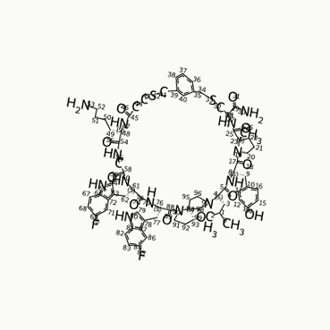 CC(C)C[C@H]1C(=O)N[C@@H](Cc2ccc(O)cc2)C(=O)N2CCC[C@@]2(C)C(=O)N[C@H](C(N)=O)CSCc2cccc(c2)CSCCC(=O)N[C@@H](CCCCN)C(=O)NCC(=O)N[C@@H](Cc2c[nH]c3ccc(F)cc23)C(=O)N[C@@H](Cc2c[nH]c3ccc(F)cc23)C(=O)N2CCC[C@@]23CCN1C3=O